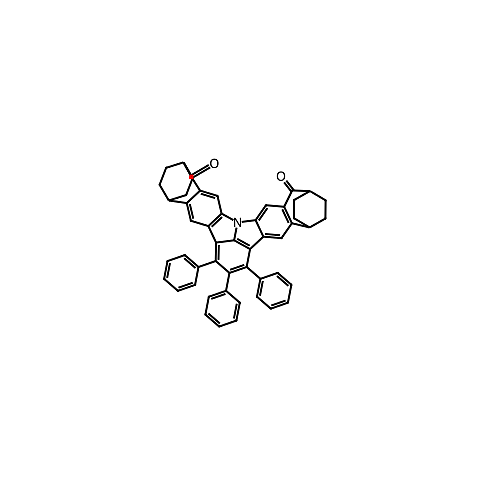 O=C1c2cc3c(cc2C2CCC1CC2)c1c(-c2ccccc2)c(-c2ccccc2)c(-c2ccccc2)c2c4cc5c(cc4n3c12)C(=O)C1CCC5CC1